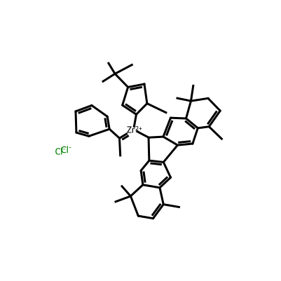 CC1=CCC(C)(C)c2cc3c(cc21)-c1cc2c(cc1[CH]3/[Zr+2]([C]1=CC(C(C)(C)C)=CC1C)=[C](\C)c1ccccc1)C(C)(C)CC=C2C.[Cl-].[Cl-]